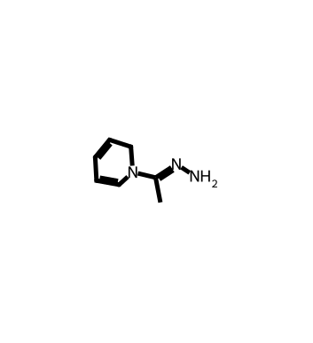 CC(=NN)N1C=CC=CC1